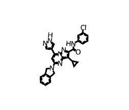 O=C(Nc1cccc(Cl)c1)c1nn2c(-c3cn[nH]c3)cc(N3Cc4ccccc4C3)nc2c1C1CC1